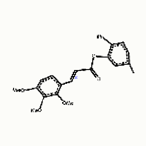 COc1ccc(/C=C/C(=O)Oc2cc(C)ccc2C(C)C)c(OC)c1OC